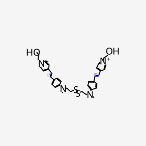 CN(CCSSCCN(C)c1ccc(/C=C/c2cc[n+](CCO)cc2)cc1)c1ccc(/C=C/c2cc[n+](CCO)cc2)cc1